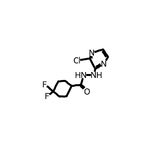 O=C(NNc1nccnc1Cl)C1CCC(F)(F)CC1